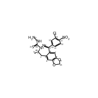 C[C@@H]1Cc2cc3c(cc2C(c2ccc([N+](=O)[O-])c(Cl)c2)=NN1C(=S)NN)OCO3